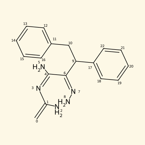 C=C(N)/N=C(N)\C(=N/N)C(Cc1ccccc1)c1ccccc1